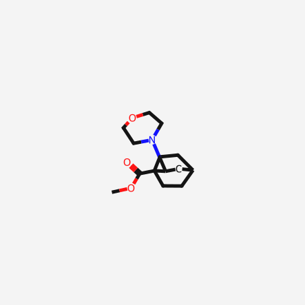 COC(=O)C12CCC(CC1)CC2N1CCOCC1